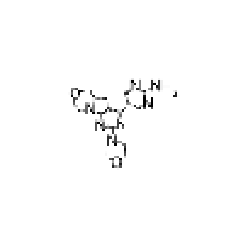 Nc1ncc(-c2nc(N3CCOCC3)nc3c2CC2COCCN32)cn1